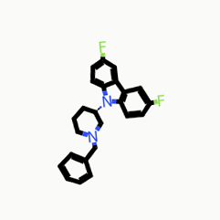 Fc1ccc2c(c1)c1cc(F)ccc1n2[C@H]1CCCN(Cc2ccccc2)C1